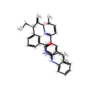 C=C(C/N=C(\C=C/C(C)=O)c1cccc(CC)c1)[C@H](CC)c1cccc(C(=O)N/C(C)=N/c2ccccc2C)c1